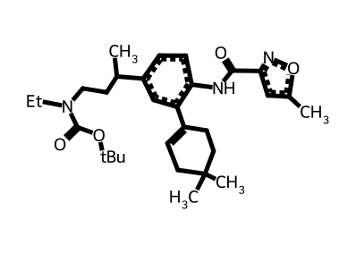 CCN(CCC(C)c1ccc(NC(=O)c2cc(C)on2)c(C2=CCC(C)(C)CC2)c1)C(=O)OC(C)(C)C